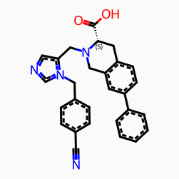 N#Cc1ccc(Cn2cncc2CN2Cc3cc(-c4ccccc4)ccc3C[C@H]2C(=O)O)cc1